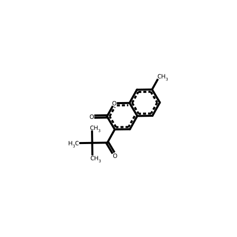 Cc1ccc2cc(C(=O)C(C)(C)C)c(=O)oc2c1